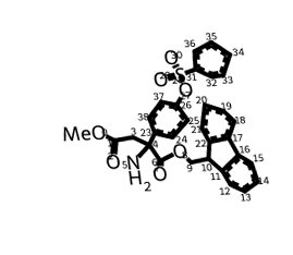 COC(=O)CC(N)(C(=O)OCC1c2ccccc2-c2ccccc21)c1ccc(OS(=O)(=O)c2ccccc2)cc1